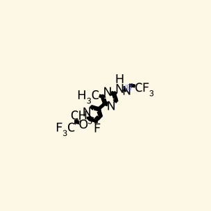 Cc1nc(N/N=C/C(F)(F)F)cnc1-c1cnc(O[C@H](C)C(F)(F)F)c(F)c1